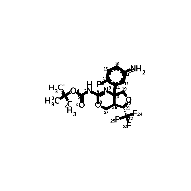 CC(C)(C)OC(=O)NC1=NC2(c3cc(N)ccc3F)CO[C@H](C(F)(F)F)C2CO1